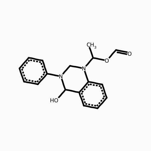 CC(OC=O)N1CN(c2ccccc2)C(O)c2ccccc21